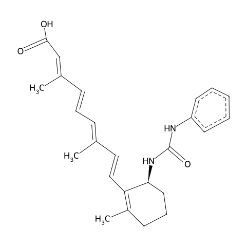 CC1=C(/C=C/C(C)=C/C=C/C(C)=C/C(=O)O)[C@@H](NC(=O)Nc2ccccc2)CCC1